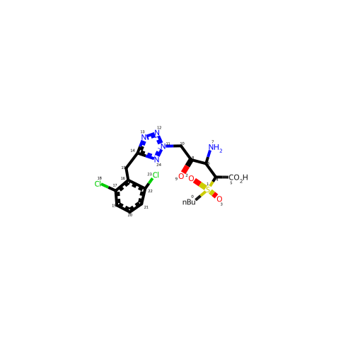 CCCCS(=O)(=O)C(C(=O)O)C(N)C(=O)Cn1nnc(Cc2c(Cl)cccc2Cl)n1